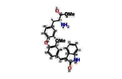 COC(=O)[C@H](N)Cc1ccc(Oc2ccc(/C=C3/C(=O)Nc4ccccc43)cc2OC)cc1